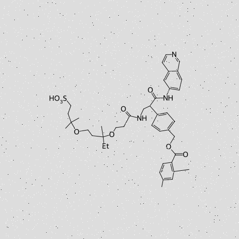 CCC(C)(CCOC(C)(C)CCS(=O)(=O)O)OCCC(=O)NCC(C(=O)Nc1ccc2cnccc2c1)c1ccc(COC(=O)c2ccc(C)cc2C)cc1